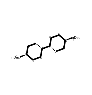 CCCCCCCCCC[C@H]1CC[C@H]([C@H]2CC[C@H](CCCCCCCCCC)CC2)CC1